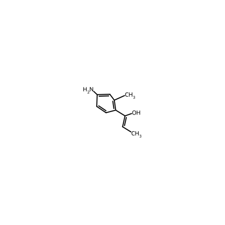 C/C=C(\O)c1ccc(N)cc1C